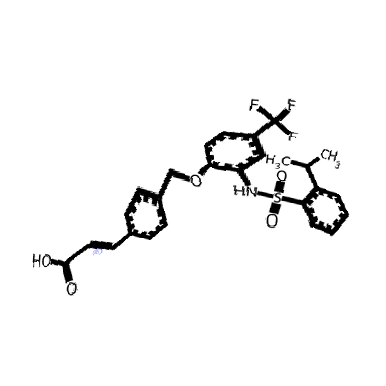 CC(C)c1ccccc1S(=O)(=O)Nc1cc(C(F)(F)F)ccc1OCc1ccc(/C=C/C(=O)O)cc1